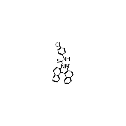 CN(C)c1ccc2ccccc2c1-c1c(NC(=S)Nc2ccc(Cl)cc2)ccc2ccccc12